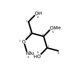 CCCCOC(CO)C(OC)C(C)O